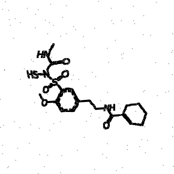 CNC(=O)N(S)S(=O)(=O)c1cc(CCNC(=O)C2=CCCCC2)ccc1OC